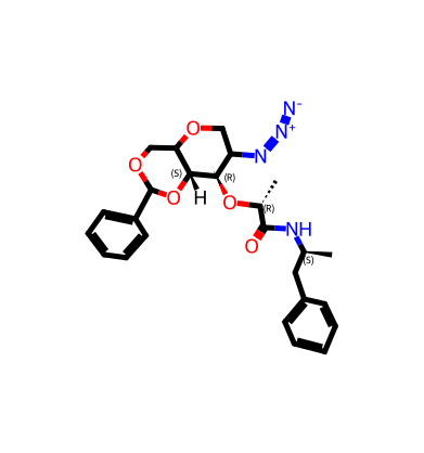 C[C@@H](Cc1ccccc1)NC(=O)[C@@H](C)O[C@@H]1C(N=[N+]=[N-])COC2COC(c3ccccc3)O[C@H]21